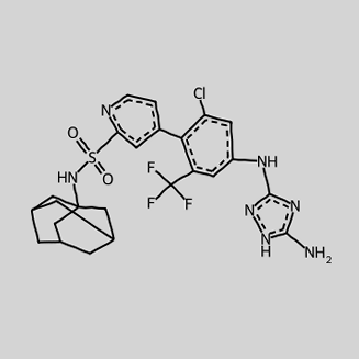 Nc1nc(Nc2cc(Cl)c(-c3ccnc(S(=O)(=O)NC45CC6CC(CC(C6)C4)C5)c3)c(C(F)(F)F)c2)n[nH]1